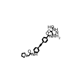 NC[C@H](NC(=O)c1ccc(C#Cc2ccc(NC(=O)CN3CCCC3)cc2)cc1)C(=O)NO